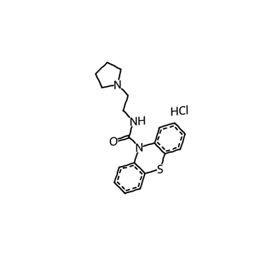 Cl.O=C(NCCN1CCCC1)N1c2ccccc2Sc2ccccc21